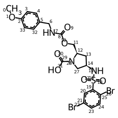 COc1ccc(CNC(=O)OC[C@H]2C[C@@H](NS(=O)(=O)c3cc(Br)ccc3Br)CN2C(=O)O)cc1